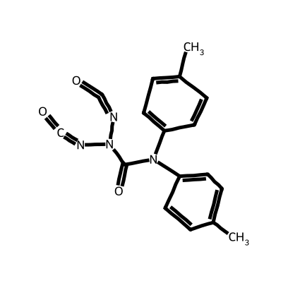 Cc1ccc(N(C(=O)N(N=C=O)N=C=O)c2ccc(C)cc2)cc1